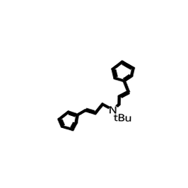 CC(C)(C)N(C/C=C/c1ccccc1)C/C=C/c1ccccc1